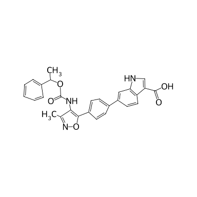 Cc1noc(-c2ccc(-c3ccc4c(C(=O)O)c[nH]c4c3)cc2)c1NC(=O)OC(C)c1ccccc1